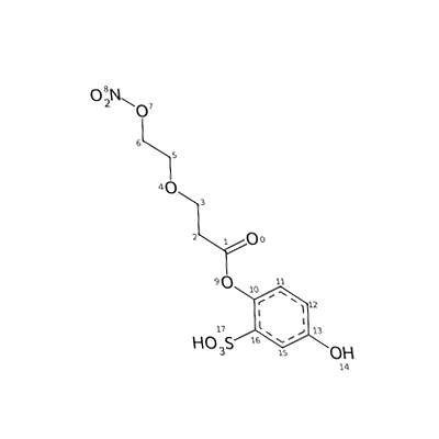 O=C(CCOCCO[N+](=O)[O-])Oc1ccc(O)cc1S(=O)(=O)O